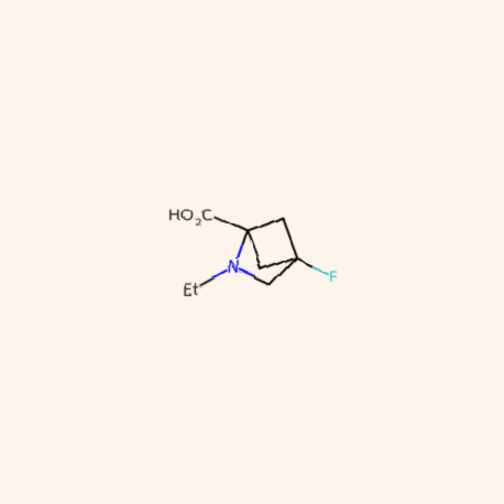 CCN1CC2(F)CC1(C(=O)O)C2